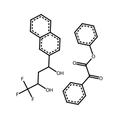 O=C(Oc1ccccc1)C(=O)c1ccccc1.OC(CC(O)C(F)(F)F)c1ccc2ccccc2c1